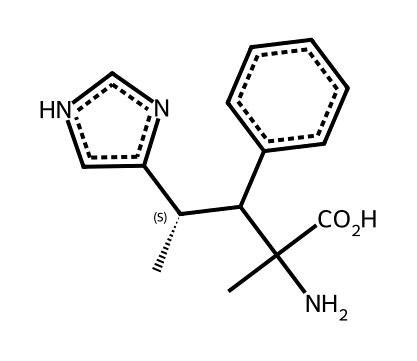 C[C@H](c1c[nH]cn1)C(c1ccccc1)C(C)(N)C(=O)O